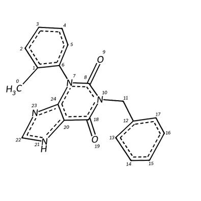 Cc1ccccc1-n1c(=O)n(Cc2ccccc2)c(=O)c2[nH]cnc21